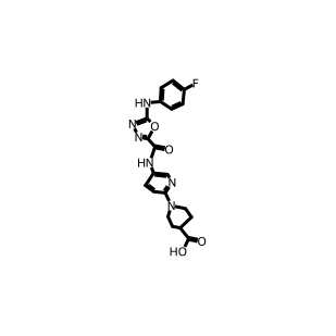 O=C(Nc1ccc(N2CCC(C(=O)O)CC2)nc1)c1nnc(Nc2ccc(F)cc2)o1